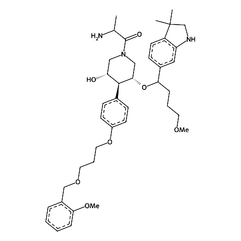 COCCCC(O[C@H]1CN(C(=O)C(C)N)C[C@@H](O)[C@@H]1c1ccc(OCCCOCc2ccccc2OC)cc1)c1ccc2c(c1)NCC2(C)C